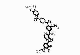 Cc1cc(Nc2nccn3c(-c4ccc(OCC#N)c(F)c4F)cnc23)ccc1C(=O)N1CCC(C(=O)N2CCN[C@H](CO)C2)CC1